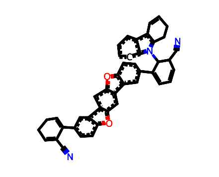 N#CC1=CCCC=C1c1ccc2oc3cc4c(cc3c2c1)oc1ccc(C2=CC=CC(C#N)C2n2c3c(c5ccccc52)C=CCC3)cc14